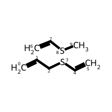 C=CCSC=C.C=CSC